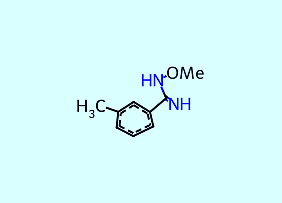 CONC(=N)c1cccc(C)c1